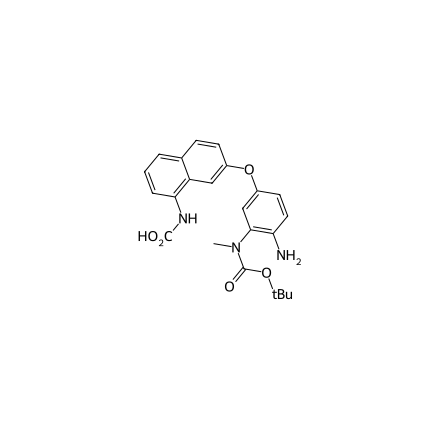 CN(C(=O)OC(C)(C)C)c1cc(Oc2ccc3cccc(NC(=O)O)c3c2)ccc1N